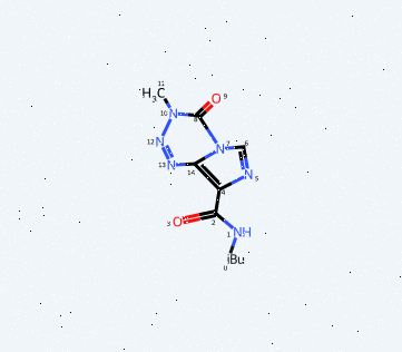 CCC(C)NC(=O)c1ncn2c(=O)n(C)nnc12